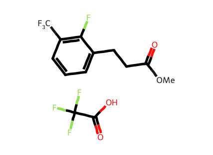 COC(=O)CCc1cccc(C(F)(F)F)c1F.O=C(O)C(F)(F)F